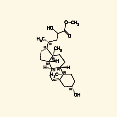 COC(=O)C(O)C[C@@H](C)[C@H]1CC[C@H]2[C@@H]3CC=C4C[C@@H](O)CC[C@]4(C)[C@H]3CC[C@]12C